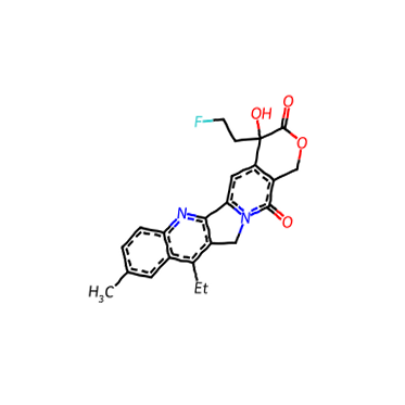 CCc1c2c(nc3ccc(C)cc13)-c1cc3c(c(=O)n1C2)COC(=O)C3(O)CCF